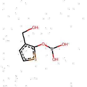 OCc1ccsc1OB(O)O